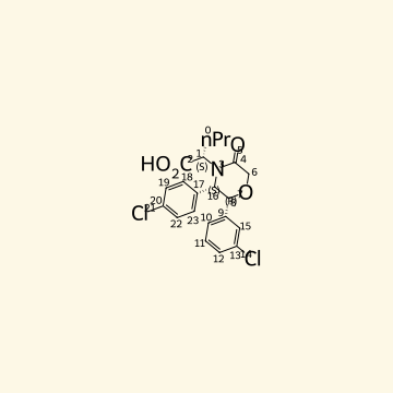 CCC[C@@H](C(=O)O)N1C(=O)CO[C@H](c2cccc(Cl)c2)[C@@H]1c1ccc(Cl)cc1